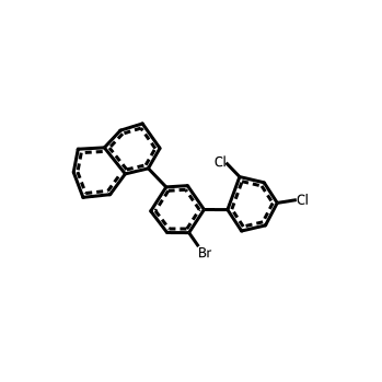 Clc1ccc(-c2cc(-c3cccc4ccccc34)ccc2Br)c(Cl)c1